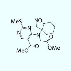 COC(=O)CN(c1nc(SC)ncc1C(=O)OC)C1(C[N+](=O)[O-])CCCCC1